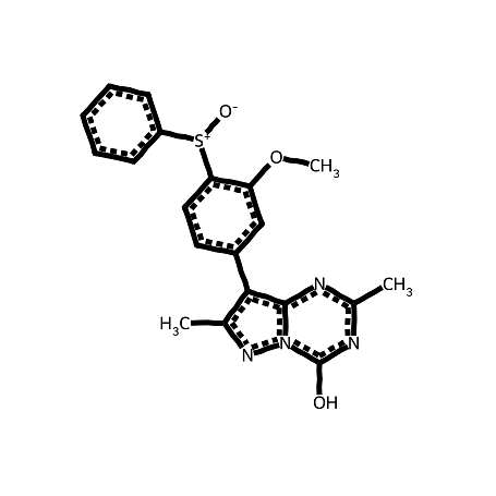 COc1cc(-c2c(C)nn3c(O)nc(C)nc23)ccc1[S+]([O-])c1ccccc1